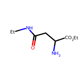 CCNC(=O)CC(N)C(=O)OCC